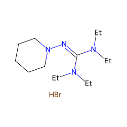 Br.CCN(CC)C(=NN1CCCCC1)N(CC)CC